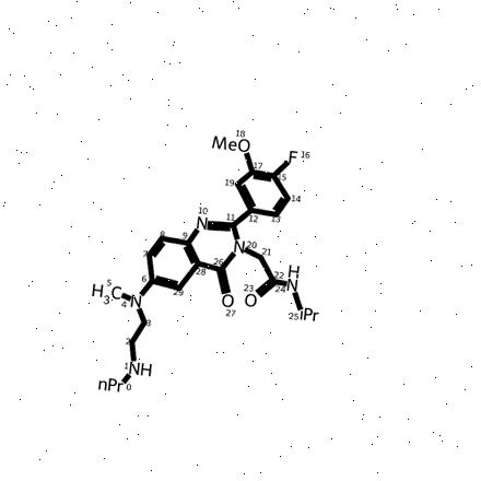 CCCNCCN(C)c1ccc2nc(-c3ccc(F)c(OC)c3)n(CC(=O)NC(C)C)c(=O)c2c1